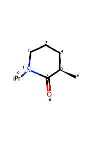 CC(C)N1CCC[C@@H](C)C1=O